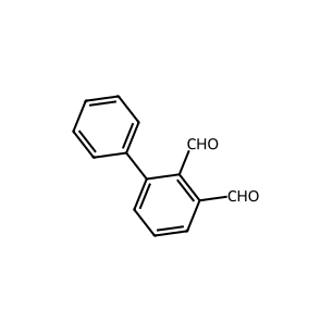 O=Cc1cccc(-c2ccccc2)c1C=O